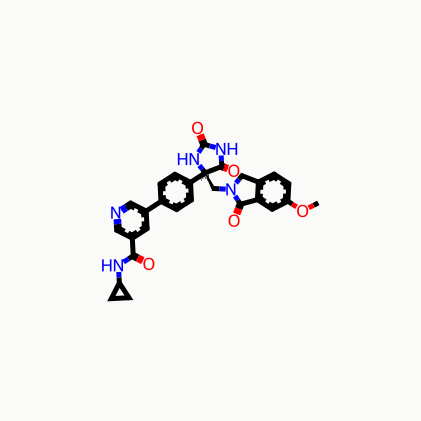 COc1ccc2c(c1)C(=O)N(C[C@@]1(c3ccc(-c4cncc(C(=O)NC5CC5)c4)cc3)NC(=O)NC1=O)C2